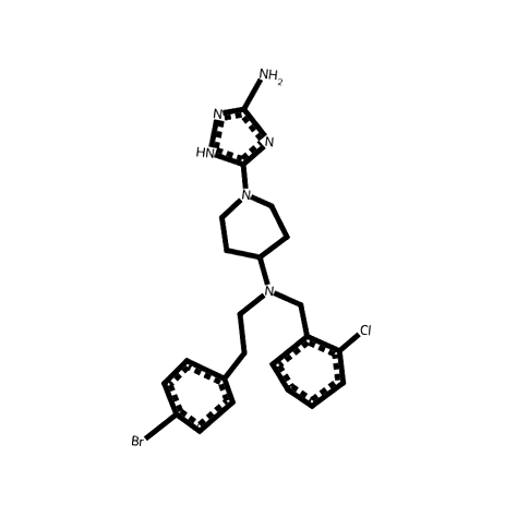 Nc1n[nH]c(N2CCC(N(CCc3ccc(Br)cc3)Cc3ccccc3Cl)CC2)n1